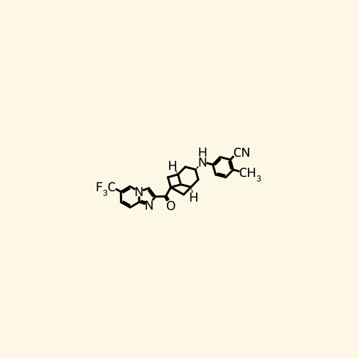 Cc1ccc(N[C@H]2C[C@@H]3CC4(C(=O)c5cn6cc(C(F)(F)F)ccc6n5)C[C@H](C2)C34)cc1C#N